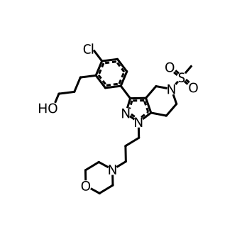 CS(=O)(=O)N1CCc2c(c(-c3ccc(Cl)c(CCCO)c3)nn2CCCN2CCOCC2)C1